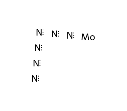 [Mo].[N].[N].[N].[N].[N].[N]